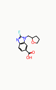 O=C(O)c1ccc2nc(F)n(CC3CCCO3)c2c1